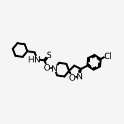 S=C(NCC1CCCCC1)ON1CCC2(CC1)CC(c1ccc(Cl)cc1)=NO2